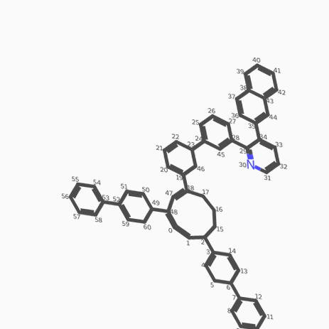 C1=CC(C2=CCC(c3ccccc3)C=C2)CCC/C(C2=CC=CC(c3cccc(-c4ncccc4-c4ccc5ccccc5c4)c3)C2)=C\C=1C1C=CC(c2ccccc2)=CC1